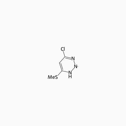 CSC1=CC(Cl)=N[N]N1